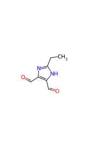 CCc1nc(C=O)c(C=O)[nH]1